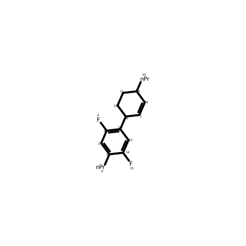 CCCc1cc(F)c(C2C=CC(CCC)CC2)cc1F